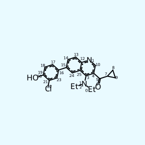 CCN(CC)c1c(C(=O)C2CC2)cnc2ccc(-c3ccc(O)c(Cl)c3)cc12